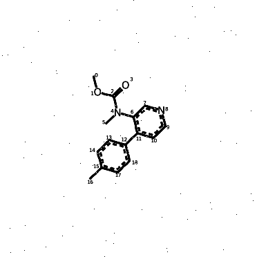 COC(=O)N(C)c1cnccc1-c1ccc(C)cc1